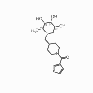 C[C@@H]1[C@@H](O)[C@H](O)[C@@H](O)CN1CC1CCN(C(=O)c2ccsc2)CC1